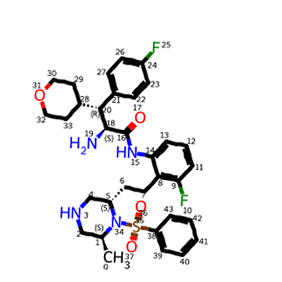 C[C@H]1CNC[C@H](CCc2c(F)cccc2NC(=O)[C@@H](N)[C@@H](c2ccc(F)cc2)C2CCOCC2)N1S(=O)(=O)c1ccccc1